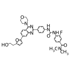 CN(C)C(=O)c1ccc(NC(=O)Nc2ccc(-c3nc(N4CCOCC4)c4ccc(-c5ccc(CCO)o5)cc4n3)cc2)c(F)c1